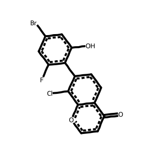 O=c1ccoc2c(Cl)c(-c3c(O)cc(Br)cc3F)ccc12